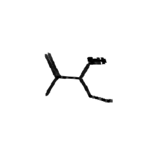 C=C(C)[CH]([SnH])CC